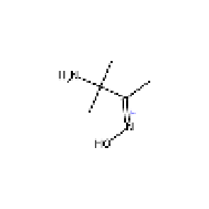 C/C(=N/O)C(C)(C)N